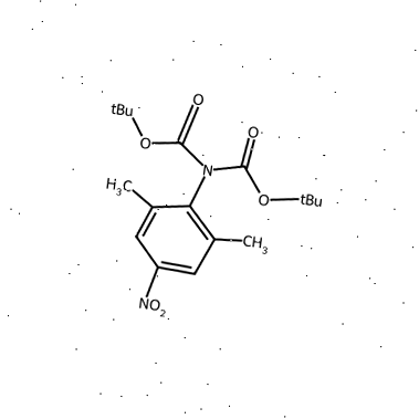 Cc1cc([N+](=O)[O-])cc(C)c1N(C(=O)OC(C)(C)C)C(=O)OC(C)(C)C